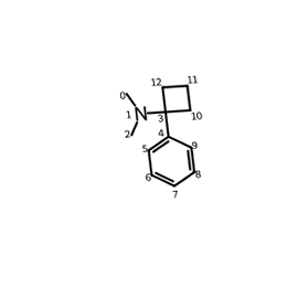 CN(C)C1(c2ccccc2)CCC1